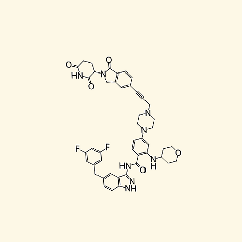 O=C1CCC(N2Cc3cc(C#CCN4CCN(c5ccc(C(=O)Nc6n[nH]c7ccc(Cc8cc(F)cc(F)c8)cc67)c(NC6CCOCC6)c5)CC4)ccc3C2=O)C(=O)N1